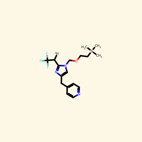 [2H]C(c1nc(Cc2ccncc2)cn1COCC[Si](C)(C)C)C(F)(F)F